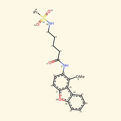 COc1c(NC(=O)CCCCNS(=O)(=O)C(C)C)ccc2oc3ccccc3c12